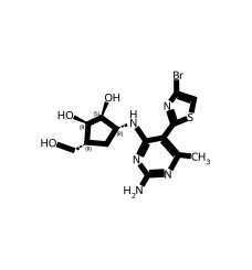 Cc1nc(N)nc(N[C@@H]2C[C@H](CO)[C@@H](O)[C@H]2O)c1-c1nc(Br)cs1